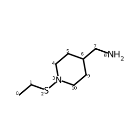 CCSN1CCC(CN)CC1